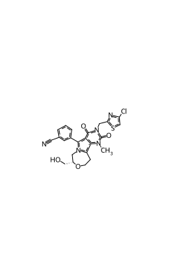 Cn1c(=O)n(Cc2nc(Cl)cs2)c(=O)c2c(-c3cccc(C#N)c3)n3c(c21)CCO[C@H](CO)C3